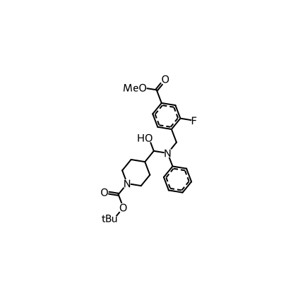 COC(=O)c1ccc(CN(c2ccccc2)C(O)C2CCN(C(=O)OC(C)(C)C)CC2)c(F)c1